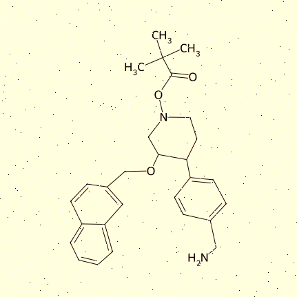 CC(C)(C)C(=O)ON1CCC(c2ccc(CN)cc2)C(OCc2ccc3ccccc3c2)C1